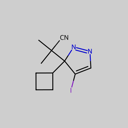 CC(C)(C#N)C1(C2CCC2)N=NC=C1I